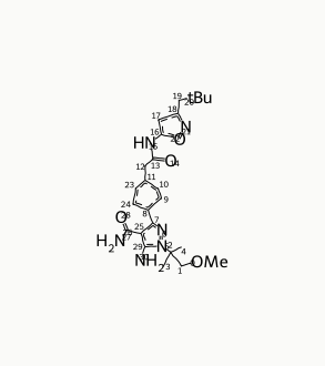 COCC(C)(C)n1nc(-c2ccc(CC(=O)Nc3cc(CC(C)(C)C)no3)cc2)c(C(N)=O)c1N